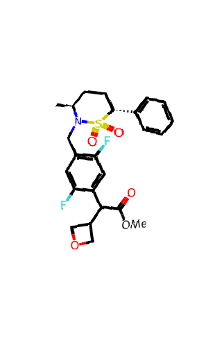 COC(=O)C(c1cc(F)c(CN2[C@@H](C)CC[C@H](c3ccccc3)S2(=O)=O)cc1F)C1COC1